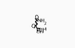 NC(C=O)CCC(=O)C(CO)CO